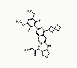 C=CC(=O)N[C@H]1COC[C@H]1Nc1cc2c(N3CC4(CCO4)C3)nc(-c3c(F)c(OC)cc(OC)c3F)cc2cn1